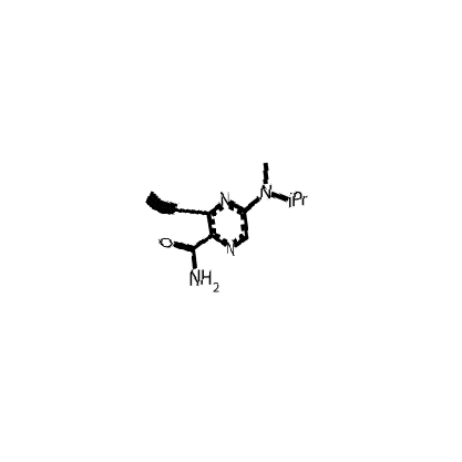 C#Cc1nc(N(C)C(C)C)cnc1C(N)=O